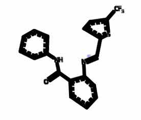 O=C(Nc1ccccc1)c1ccccc1/N=C/c1ccc(C(F)(F)F)s1